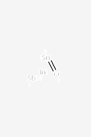 [In].[O]=[Sn].[Sb]